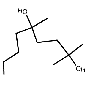 CCCCC(C)(O)CCC(C)(C)O